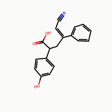 N#CC=C(CC(C(=O)O)c1ccc(O)cc1)c1ccccc1